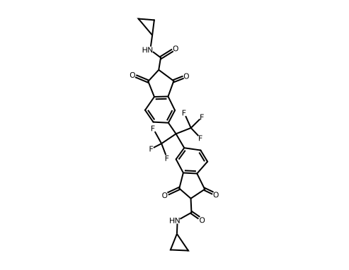 O=C(NC1CC1)C1C(=O)c2ccc(C(c3ccc4c(c3)C(=O)C(C(=O)NC3CC3)C4=O)(C(F)(F)F)C(F)(F)F)cc2C1=O